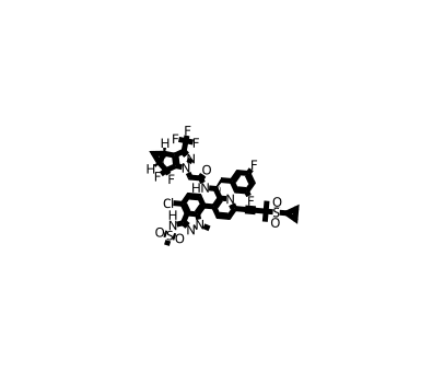 Cn1nc(NS(C)(=O)=O)c2c(Cl)ccc(-c3ccc(C#CC(C)(C)S(=O)(=O)C4CC4)nc3[C@H](Cc3cc(F)cc(F)c3)NC(=O)Cn3nc(C(F)(F)F)c4c3C(F)(F)[C@@H]3C[C@H]43)c21